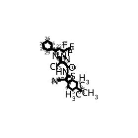 CC(C)(C)C1CCc2c(sc(NC(=O)c3nn4c(C(F)(F)F)cc(-c5ccccc5)nc4c3Cl)c2C#N)C1